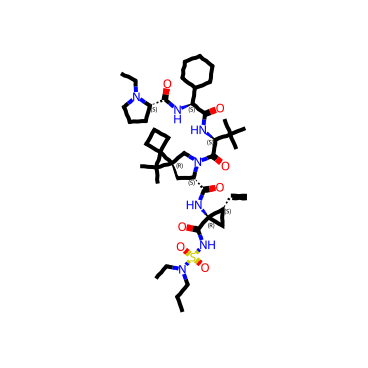 C=C[C@@H]1C[C@]1(NC(=O)[C@@H]1C[C@@]2(CN1C(=O)[C@@H](NC(=O)[C@@H](NC(=O)[C@@H]1CCCN1CC)C1CCCCC1)C(C)(C)C)C(C)(C)C21CCC1)C(=O)NS(=O)(=O)N(CC)CCC